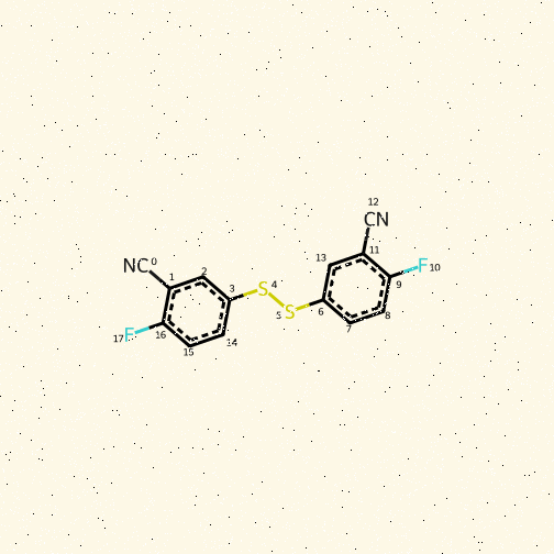 N#Cc1cc(SSc2ccc(F)c(C#N)c2)ccc1F